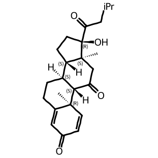 CC(C)CC(=O)[C@@]1(O)CC[C@H]2[C@@H]3CCC4=CC(=O)C=C[C@]4(C)[C@H]3C(=O)C[C@@]21C